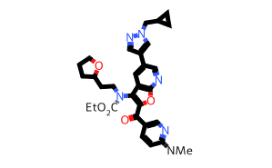 CCOC(=O)N(CCC1CCCO1)c1c(C(=O)c2ccc(NC)nc2)oc2ncc(-c3cnn(CC4CC4)c3)cc12